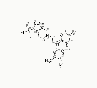 Cc1cc2c(cc1Br)Oc1cc(Br)cnc1N2CCN1CCn2c(nnc2C(F)(F)F)C1